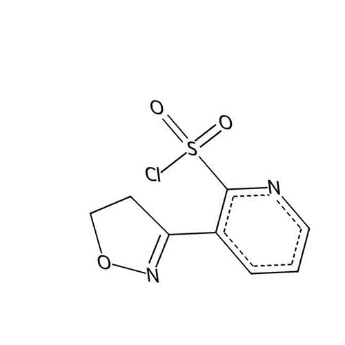 O=S(=O)(Cl)c1ncccc1C1=NOCC1